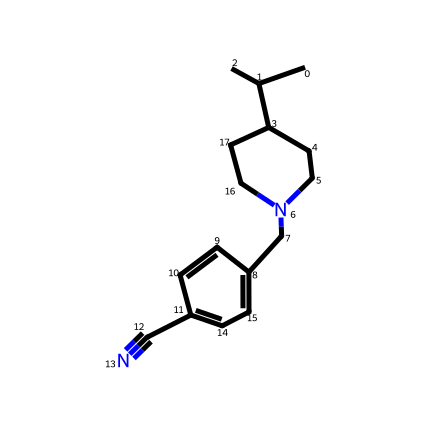 CC(C)C1CCN(Cc2ccc(C#N)cc2)CC1